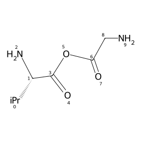 CC(C)[C@H](N)C(=O)OC(=O)CN